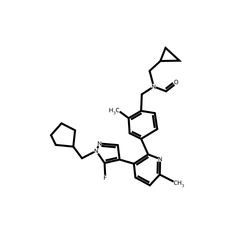 Cc1ccc(-c2cnn(CC3CCCC3)c2F)c(-c2ccc(CN(C=O)CC3CC3)c(C)c2)n1